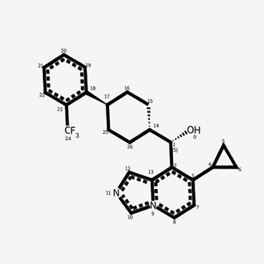 O[C@H](c1c(C2CC2)ccn2cncc12)[C@H]1CC[C@H](c2ccccc2C(F)(F)F)CC1